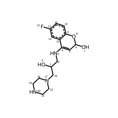 OC(CNC1=CC(O)Oc2ccc(F)cc21)CN1CCNCC1